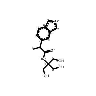 CC(C(=O)NC(CO)(CO)CO)c1ccc2cscc2c1